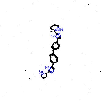 C[C@@]1(c2ncc(-c3ccc(-c4ccc(-c5cnc([C@@H]6CCCN6)[nH]5)cc4)cc3)[nH]2)CCCN1